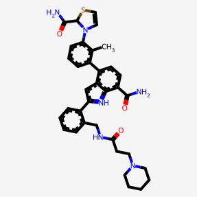 Cc1c(-c2ccc(C(N)=O)c3[nH]c(-c4ccccc4CNC(=O)CCN4CCCCC4)cc23)cccc1N1C=CSC1C(N)=O